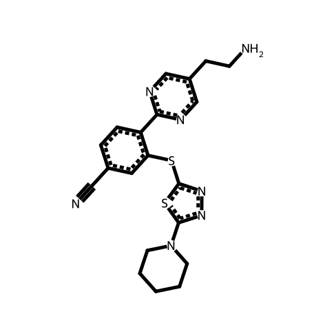 N#Cc1ccc(-c2ncc(CCN)cn2)c(Sc2nnc(N3CCCCC3)s2)c1